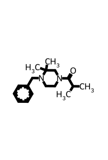 CC(C)C(=O)N1CCN(Cc2ccccc2)C(C)(C)C1